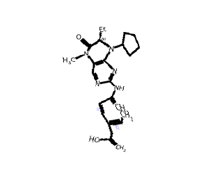 C=C(/C=C\C(=C/C)C(=C)O)Nc1ncc2c(n1)N(C1CCCC1)[C@H](CC)C(=O)N2C